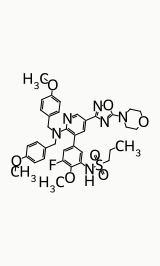 CCCS(=O)(=O)Nc1cc(-c2cc(-c3noc(N4CCOCC4)n3)cnc2N(Cc2ccc(OC)cc2)Cc2ccc(OC)cc2)cc(F)c1OC